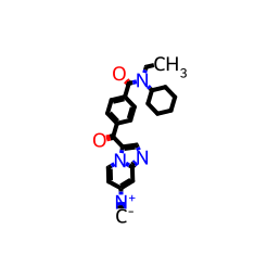 [C-]#[N+]c1ccn2c(C(=O)c3ccc(C(=O)N(CC)C4CCCCC4)cc3)cnc2c1